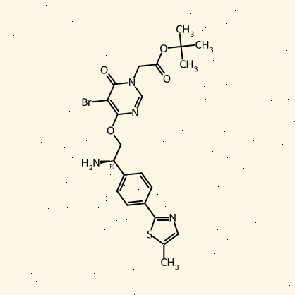 Cc1cnc(-c2ccc([C@@H](N)COc3ncn(CC(=O)OC(C)(C)C)c(=O)c3Br)cc2)s1